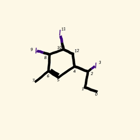 CCC(I)C1C=C(C)C(I)C(I)C1